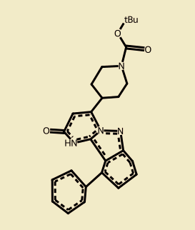 CC(C)(C)OC(=O)N1CCC(c2cc(=O)[nH]c3c4c(-c5ccccc5)cccc4nn23)CC1